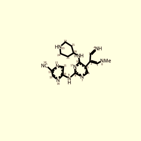 CN/C=C(\C=N)c1cnc(Nc2cnc(C#N)cn2)nc1NC1CCNCC1